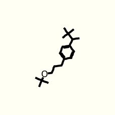 CC(c1ccc(CCCOC(C)(C)C)cc1)C(C)(C)C